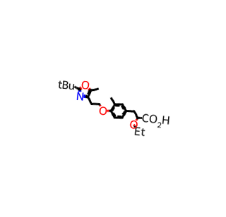 CCOC(Cc1ccc(OCCc2nc(C(C)(C)C)oc2C)c(C)c1)C(=O)O